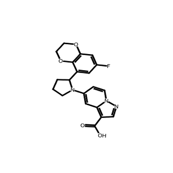 O=C(O)c1cnn2ccc(N3CCCC3c3cc(F)cc4c3OCCO4)cc12